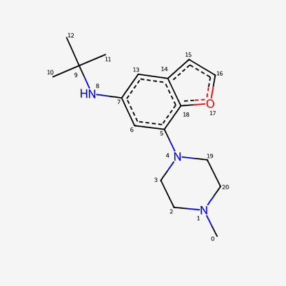 CN1CCN(c2cc(NC(C)(C)C)cc3ccoc23)CC1